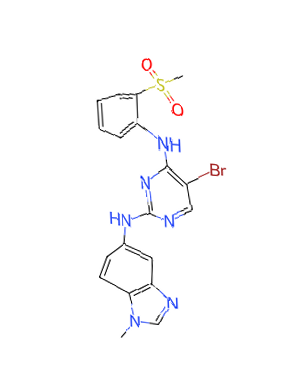 Cn1cnc2cc(Nc3ncc(Br)c(Nc4ccccc4S(C)(=O)=O)n3)ccc21